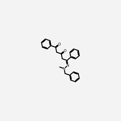 CN(Cc1ccccc1)/N=C(\CC(=O)CC(=O)c1ccccc1)c1ccccc1